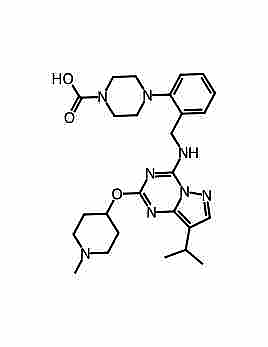 CC(C)c1cnn2c(NCc3ccccc3N3CCN(C(=O)O)CC3)nc(OC3CCN(C)CC3)nc12